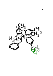 CC1=CC(C)[C]([Hf+2](=[SiH]Cc2ccccc2)([C]2=C(C)C=C(C)C2)[C]2=C(C)C=C(C)C2)=C1.[Cl-].[Cl-]